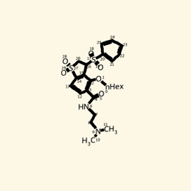 CCCCCCOc1c(C(=O)NCCN(C)C)ccc2c1C(S(=O)(=O)c1ccccc1)CS2(=O)=O